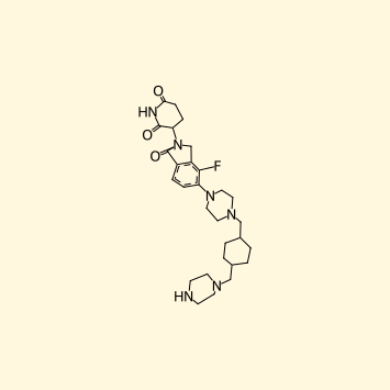 O=C1CCC(N2Cc3c(ccc(N4CCN(CC5CCC(CN6CCNCC6)CC5)CC4)c3F)C2=O)C(=O)N1